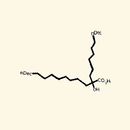 CCCCCCCCCCCCCCCCCCC(O)(CCCCCCCCCCCCCCCC)C(=O)O